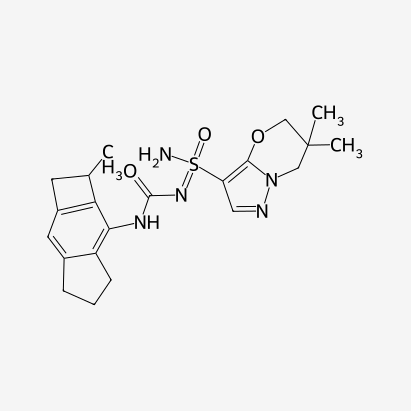 CC1Cc2cc3c(c(NC(=O)N=S(N)(=O)c4cnn5c4OCC(C)(C)C5)c21)CCC3